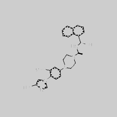 COc1cc(N2CCN(C(=O)N[C@H](C)c3cccc4ccccc34)CC2)ccc1-n1cnc(C)c1